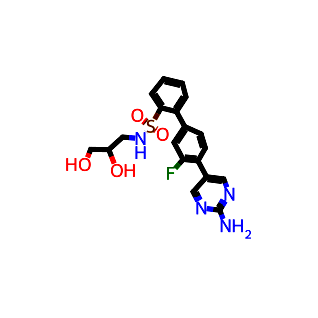 Nc1ncc(-c2ccc(-c3ccccc3S(=O)(=O)NCC(O)CO)cc2F)cn1